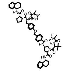 CNC(C)C(=O)NC(C(=O)N1C[C@@H](NC(=O)c2ccc(COc3ccc(CN(NC(=O)C(C)NC)C(=O)[C@H]4CCC[C@@H]4C(=O)N[C@@H]4CCCc5ccccc54)cc3)cc2)CC1C(=O)N[C@@H]1CCCc2ccccc21)C(C)(C)C